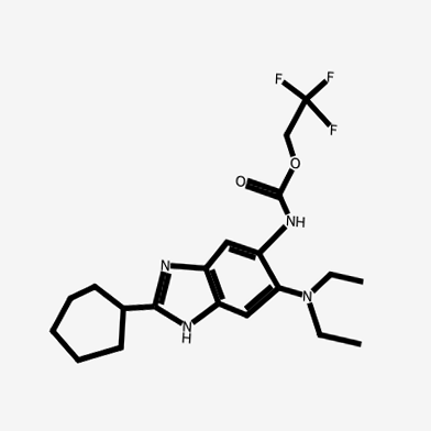 CCN(CC)c1cc2[nH]c(C3CCCCC3)nc2cc1NC(=O)OCC(F)(F)F